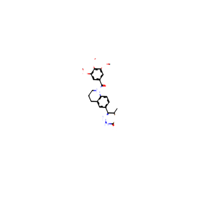 COc1cc(C(=O)N2CCCc3cc(C4=NNC(=O)SC4C)ccc32)cc(OC)c1OC